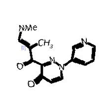 CN/C=C(\C)C(=O)c1nn(-c2cccnc2)ccc1=O